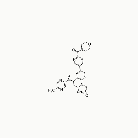 Cc1cnc(N[C@@H]2C[C@H](C)N(C=C=O)c3ccc(-c4ccc(C(=O)N5CCOCC5)nc4)cc32)cn1